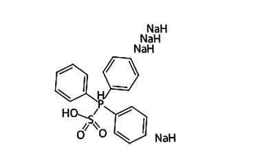 O=S(=O)(O)[PH](c1ccccc1)(c1ccccc1)c1ccccc1.[NaH].[NaH].[NaH].[NaH]